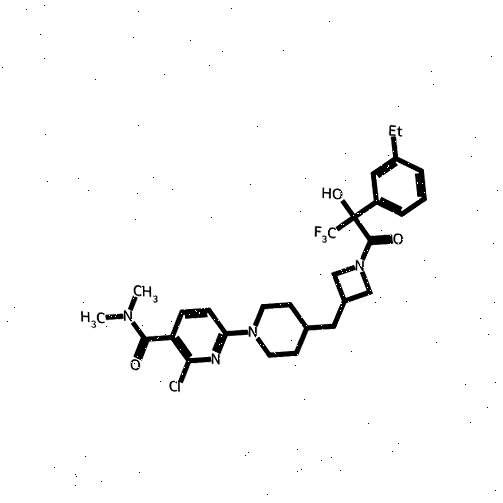 CCc1cccc(C(O)(C(=O)N2CC(CC3CCN(c4ccc(C(=O)N(C)C)c(Cl)n4)CC3)C2)C(F)(F)F)c1